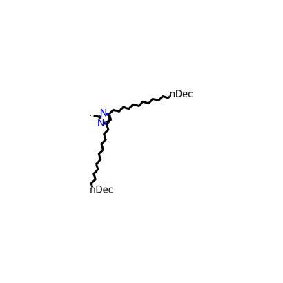 [CH2]c1nc(CCCCCCCCCCCCCCCCCCCCCC)cc(CCCCCCCCCCCCCCCCCCCCCC)n1